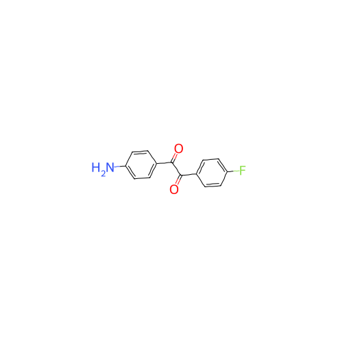 Nc1ccc(C(=O)C(=O)c2ccc(F)cc2)cc1